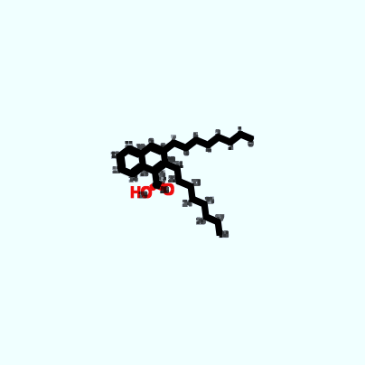 CCCCCCCCc1cc2ccccc2c(C(=O)O)c1CCCCCCCC